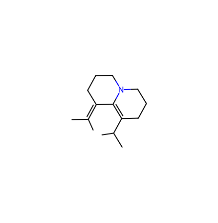 CC(C)=C1CCCN2CCCC(C(C)C)=C12